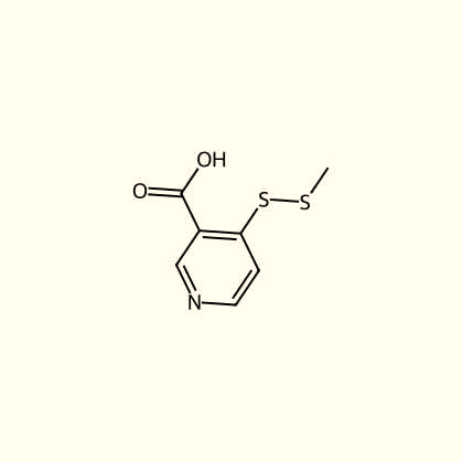 CSSc1ccncc1C(=O)O